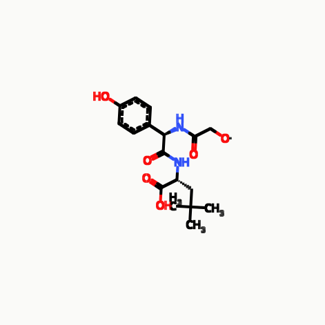 CC(C)(C)C[C@@H](NC(=O)[C@H](NC(=O)C[O])c1ccc(O)cc1)C(=O)O